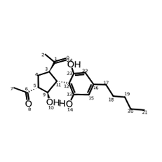 C=C(C)[C@@H]1C[C@@H](C(C)=O)[C@H](O)[C@H]1c1c(O)cc(CCCCC)cc1O